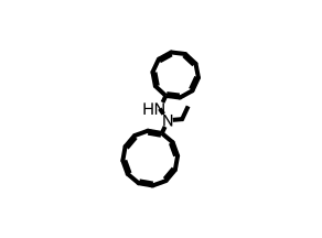 CCN(Nc1ccccccccc1)C1=C/C=C\C=C/C=C\C=C/C=C\1